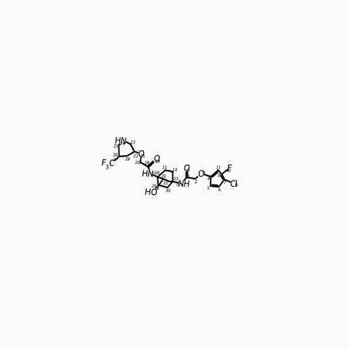 O=C(COc1ccc(Cl)c(F)c1)NC12CCC(NC(=O)COC3CNCC(C(F)(F)F)C3)(CC1)C(O)C2